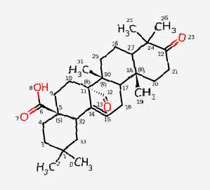 CC1(C)CC[C@]2(C(=O)O)CC[C@]3(C=O)C(=CCC4[C@@]5(C)CCC(=O)C(C)(C)C5CC[C@]43C)C2C1